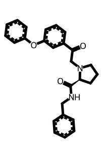 O=C(CN1CCC[C@H]1C(=O)NCc1ccccc1)c1cccc(Oc2ccccc2)c1